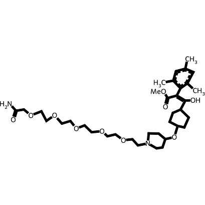 COC(=O)/C(=C(/O)C1CCC(OC2CCN(CCOCCOCCOCCOCCOCC(N)=O)CC2)CC1)c1c(C)cc(C)cc1C